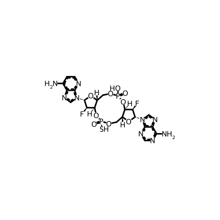 Nc1ccnc2c1ncn2[C@@H]1O[C@@H]2COP(=O)(O)O[C@H]3[C@@H](F)[C@H](n4cnc5c(N)ncnc54)O[C@@H]3CO[P@](=O)(S)O[C@H]2[C@H]1F